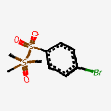 CS(C)(C)(=O)S(=O)(=O)c1ccc(Br)cc1